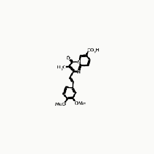 COc1ccc(/C=C/c2nc3ccc(C(=O)O)cn3c(=O)c2C)cc1OC